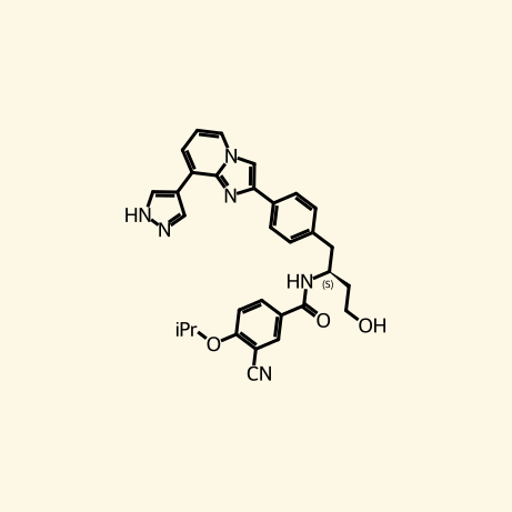 CC(C)Oc1ccc(C(=O)N[C@H](CCO)Cc2ccc(-c3cn4cccc(-c5cn[nH]c5)c4n3)cc2)cc1C#N